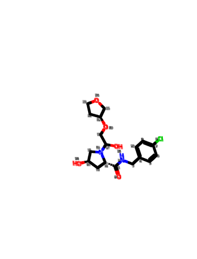 O=C(NCc1ccc(Cl)cc1)[C@@H]1C[C@@H](O)CN1C(O)CO[C@H]1CCOC1